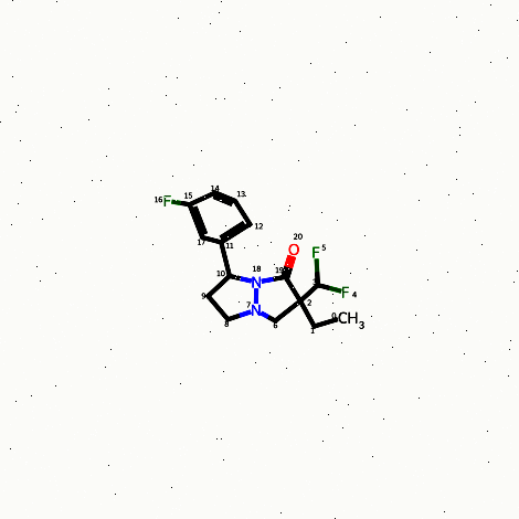 CCC1(C(F)F)CN2CCC(c3cccc(F)c3)N2C1=O